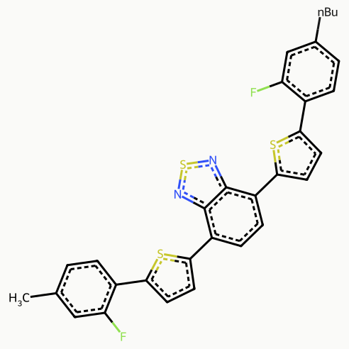 CCCCc1ccc(-c2ccc(-c3ccc(-c4ccc(-c5ccc(C)cc5F)s4)c4nsnc34)s2)c(F)c1